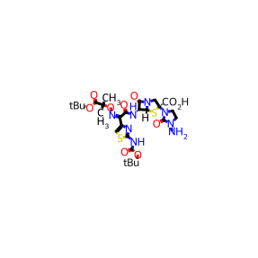 CC(C)(C)OC(=O)Nc1nc(/C(=N/OC(C)(C)C(=O)OC(C)(C)C)C(=O)N[C@@H]2C(=O)N3C[C@@](C(=O)O)(N4CCN(N)C4=O)S[C@H]23)cs1